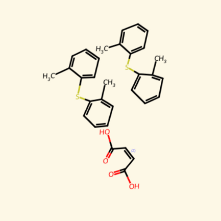 Cc1ccccc1Sc1ccccc1C.Cc1ccccc1Sc1ccccc1C.O=C(O)/C=C\C(=O)O